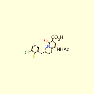 CC(=O)Nc1cc(C(=O)O)c(=O)n2cc(Cc3cccc(Cl)c3F)ccc12